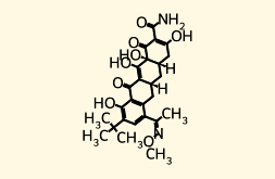 CO/N=C(/C)c1cc(C(C)(C)C)c(O)c2c1C[C@H]1C[C@H]3CC(O)=C(C(N)=O)C(=O)[C@@]3(O)C(O)=C1C2=O